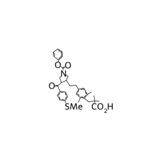 CSc1ccc(C(=O)C2CN(C(=O)OC3=C=C=CC=C3)CC2CCc2cc(C)c(CC(C)(C)C(=O)O)c(C)c2)cc1